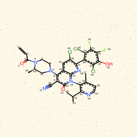 C=CC(=O)N1CCN(c2c(C#N)c(=O)n(-c3c(C)ccnc3C(C)C)c3nc(-c4c(Cl)c(O)c(F)c(F)c4Cl)c(Cl)cc23)C[C@H]1C